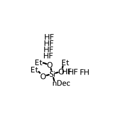 CCCCCCCCCC[Si](OCC)(OCC)OCC.F.F.F.F.F.F.F